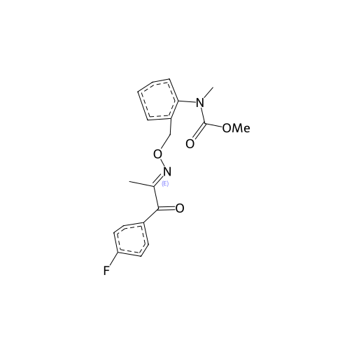 COC(=O)N(C)c1ccccc1CO/N=C(\C)C(=O)c1ccc(F)cc1